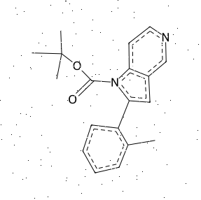 Cc1ccccc1-c1cc2cnccc2n1C(=O)OC(C)(C)C